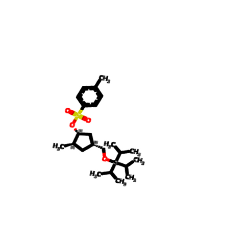 Cc1ccc(S(=O)(=O)O[C@@H]2C[C@H](CO[Si](C(C)C)(C(C)C)C(C)C)C[C@H]2C)cc1